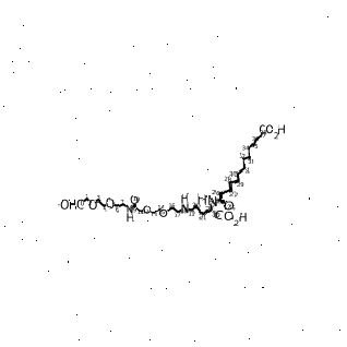 O=[C]COCCOCCNC(=O)COCCOCCNCCC[C@H](NC(=O)CCCCCCCCCCCCC(=O)O)C(=O)O